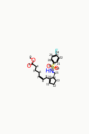 COC(=O)CCC/C=C\CC1=CCC[C@@H]1CNS(=O)(=O)c1ccc(F)cc1